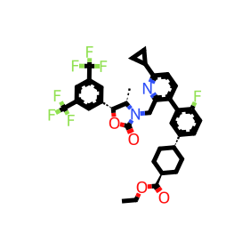 CCOC(=O)[C@H]1CC[C@H](c2ccc(F)c(-c3ccc(C4CC4)nc3CN3C(=O)O[C@H](c4cc(C(F)(F)F)cc(C(F)(F)F)c4)[C@@H]3C)c2)CC1